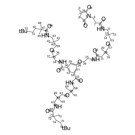 CC1CC(=O)N(CCC(=O)NCC(C)(C)COCC(C)(C)CC(=O)NCCOc2cc(C(=O)NCC(C)(C)OCC(C)(C)CNC(=O)C(C)(C)CCC(C)(C)C)cc(C(=O)NCC(C)(C)OCC(C)(C)CNC(=O)C(C)(C)CCC(C)(C)C)c2)C1=O